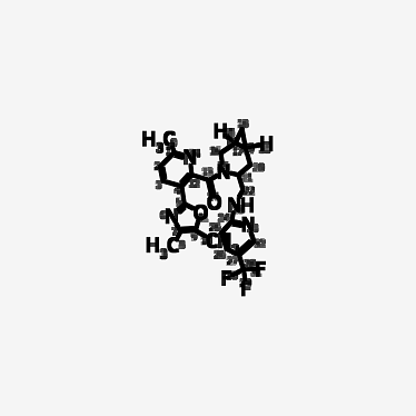 Cc1ccc(-c2nc(C)c(C)o2)c(C(=O)N2C[C@@H]3C[C@@H]3CC2CNc2ccc(C(F)(F)F)cn2)n1